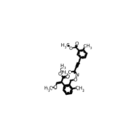 CO/C=C(/C(=O)OC)c1cccc(C)c1CO/N=C(\C)C#Cc1ccc(C)c(C(=O)OC)c1